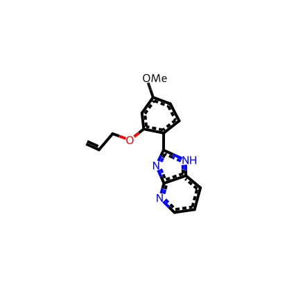 C=CCOc1cc(OC)ccc1-c1nc2ncccc2[nH]1